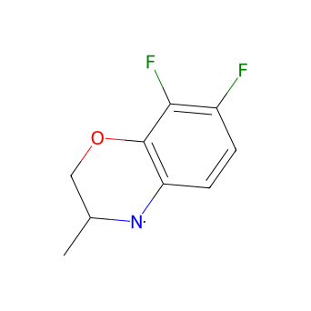 CC1COc2c(ccc(F)c2F)[N]1